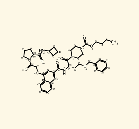 CCCCOC(=O)N1CCN(C(=O)[C@H](CCOCc2ccccc2)NC(=O)c2cc(OCC(=O)N3CCC[C@H]3C(=O)NC3CCC3)c3ccccc3n2)CC1